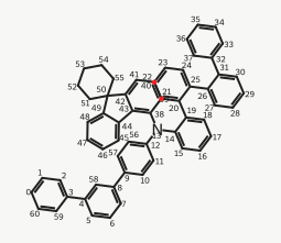 c1ccc(-c2cccc(-c3ccc(N(c4ccccc4-c4ccccc4-c4ccccc4-c4ccccc4)c4cccc5c4-c4ccccc4C54CCCCC4)cc3)c2)cc1